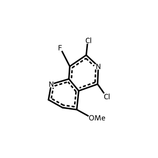 COc1ccnc2c(F)c(Cl)nc(Cl)c12